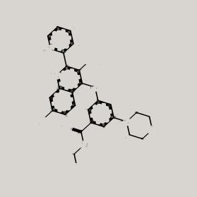 CCNC(=O)c1cc(Nc2c(C)c(-c3ccccn3)nc3cc(F)ccc23)cc(N2CCOCC2)c1